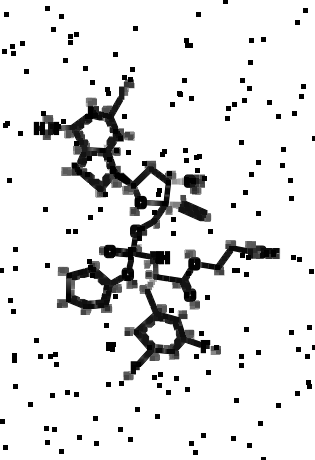 C#C[C@]1(COP(=O)(N[C@@H](Cc2cc(F)cc(F)c2)C(=O)OCCCCCCCCCCCC)Oc2ccccc2)O[C@@H](n2cnc3c(N)nc(F)nc32)C[C@@H]1O